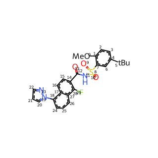 COc1ccc(C(C)(C)C)cc1S(=O)(=O)NC(=O)c1ccc2c(-n3cccn3)cccc2c1F